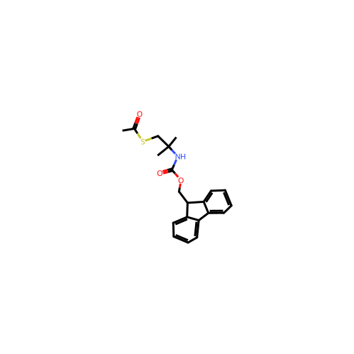 CC(=O)SCC(C)(C)NC(=O)OCC1c2ccccc2-c2ccccc21